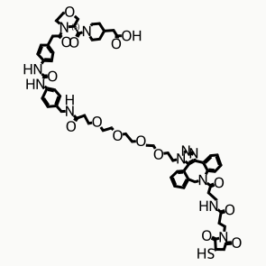 O=C(O)CC1CCN(C(=O)[C@@H]2COCCN2C(=O)Cc2ccc(NC(=O)Nc3ccc(CNC(=O)CCOCCOCCOCCOCCn4nnc5c4-c4ccccc4CN(C(=O)CCNC(=O)CCN4C(=O)CC(S)C4=O)c4ccccc4-5)cc3)cc2)CC1